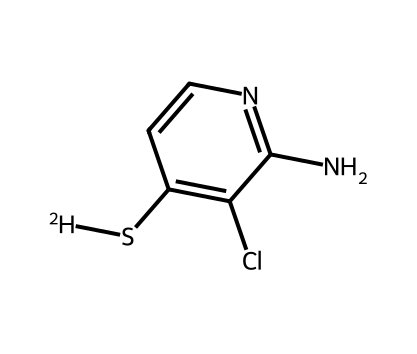 [2H]Sc1ccnc(N)c1Cl